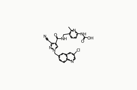 Cc1nc(NC(=O)O)ccc1CNC(=O)c1cn(Cc2ccc3ncc(Cl)cc3c2)nc1C#N